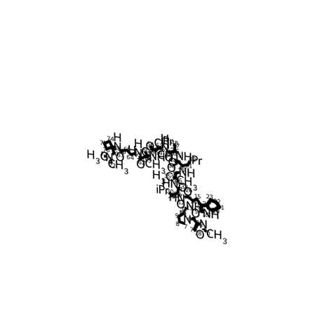 Cc1nc(C(=O)N2CCC[C@H]2C(=O)NC(Cc2c[nH]c3ccccc23)C(=O)NC(CC(C)C)C(=O)NC(C)(C)C(=O)NC(CC(C)C)C(=O)NC(CC(C)C)C(=O)NC(C)(C)C(=O)NC(C)(C)C(=O)NCCC(=O)NC2(CN(C)C)CCC2)co1